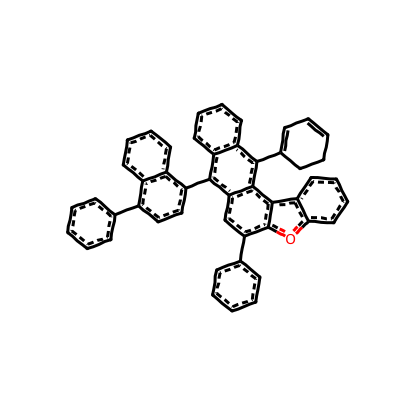 C1=CCCC(c2c3ccccc3c(-c3ccc(-c4ccccc4)c4ccccc34)c3cc(-c4ccccc4)c4oc5ccccc5c4c23)=C1